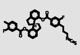 Cc1ccc(C(=O)Oc2cccc3c2[C@@]2(CC3)CCc3cccc(OC(=O)c4ccc(CCCN=C=S)c(F)c4)c32)cc1F